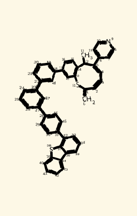 C=C1/C=C\C=C(\c2ccncc2)C(C)c2ccc(-c3cccc(-c4cccc(-c5ccc(-c6cccc7c6sc6ccccc67)cc5)c4)c3)cc2S1